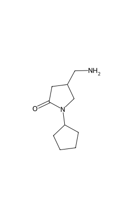 NCC1CC(=O)N(C2CCCC2)C1